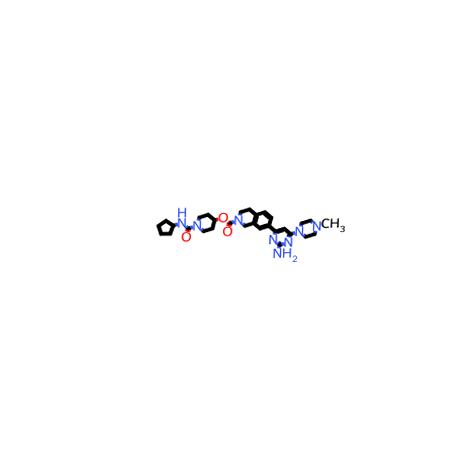 CN1CCN(c2cc(-c3ccc4c(c3)CN(C(=O)OC3CCN(C(=O)NC5CCCC5)CC3)CC4)nc(N)n2)CC1